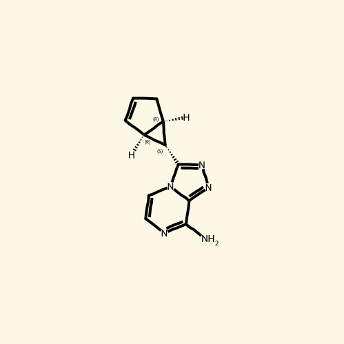 Nc1nccn2c([C@@H]3[C@H]4C=CC[C@H]43)nnc12